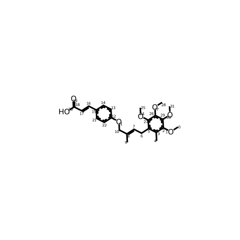 COc1c(C)c(C/C=C(\C)COc2ccc(/C=C/C(=O)O)cc2)c(OC)c(OC)c1OC